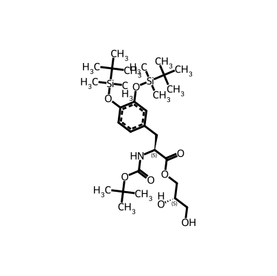 CC(C)(C)OC(=O)N[C@@H](Cc1ccc(O[Si](C)(C)C(C)(C)C)c(O[Si](C)(C)C(C)(C)C)c1)C(=O)OC[C@@H](O)CO